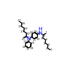 CCCCCCC(C)Nc1ccc(N(c2ccccc2)C(C)CCCCCC)cc1